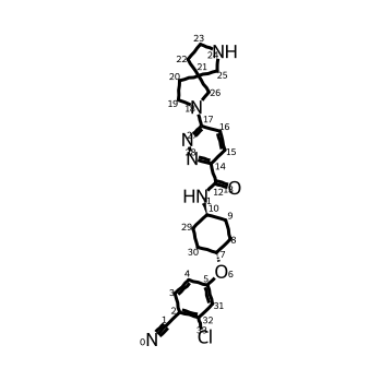 N#Cc1ccc(O[C@H]2CC[C@H](NC(=O)c3ccc(N4CCC5(CCNC5)C4)nn3)CC2)cc1Cl